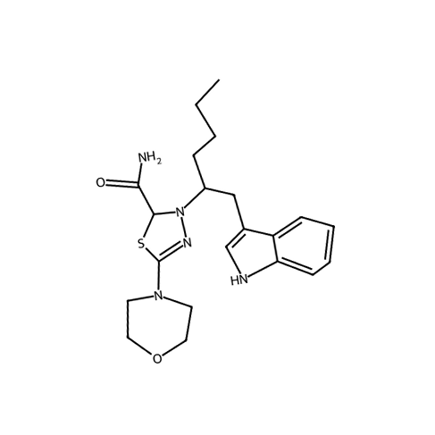 CCCCC(Cc1c[nH]c2ccccc12)N1N=C(N2CCOCC2)SC1C(N)=O